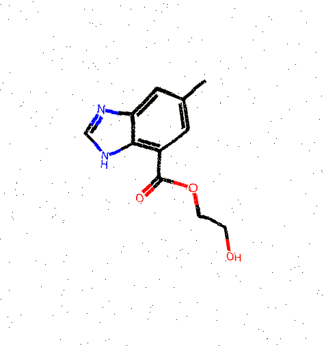 Cc1cc(C(=O)OCCO)c2[nH]cnc2c1